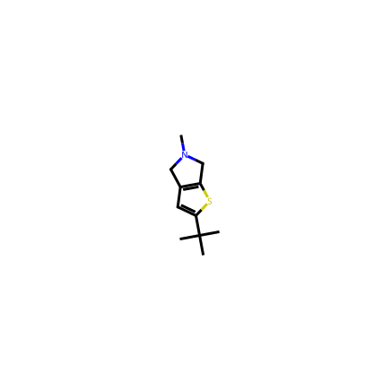 CN1Cc2cc(C(C)(C)C)sc2C1